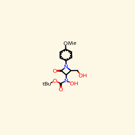 COc1ccc(N2C(=O)C(N(O)C(=O)OC(C)(C)C)C2CO)cc1